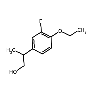 CCOc1ccc([C](C)CO)cc1F